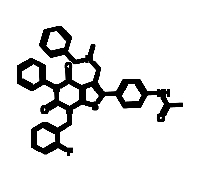 CC(=O)Nc1ccc(-c2sc3c(c2CN(C)Cc2ccccc2)c(=O)n(-c2ccccc2)c(=O)n3Cc2ccccc2F)cc1